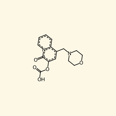 O=C(O)Oc1cc(CN2CCOCC2)c2ccccn2c1=O